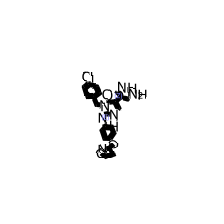 N=C/C(=C\N)c1c[nH]/c(=N\c2ccc(Oc3ccon3)cc2)n(Cc2ccc(Cl)cc2)c1=O